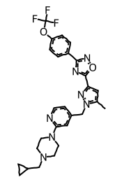 Cc1cc(-c2nc(-c3ccc(OC(F)(F)F)cc3)no2)nn1Cc1ccnc(N2CCN(CC3CC3)CC2)c1